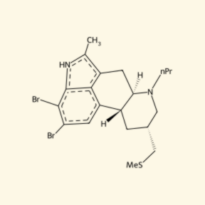 CCCN1C[C@H](CSC)C[C@@H]2c3cc(Br)c(Br)c4[nH]c(C)c(c34)C[C@H]21